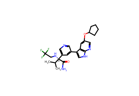 CC(C)[C@](NCC(F)(F)F)(C(N)=O)c1cncc(-c2c[nH]c3ncc(OC4CCCC4)cc23)c1